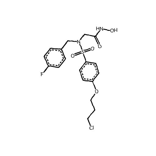 O=C(CN(Cc1ccc(F)cc1)S(=O)(=O)c1ccc(OCCCCl)cc1)NO